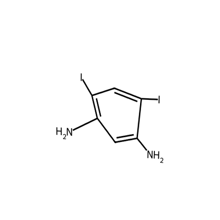 Nc1cc(N)c(I)cc1I